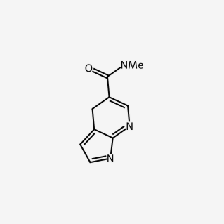 CNC(=O)C1=CN=C2N=CC=C2C1